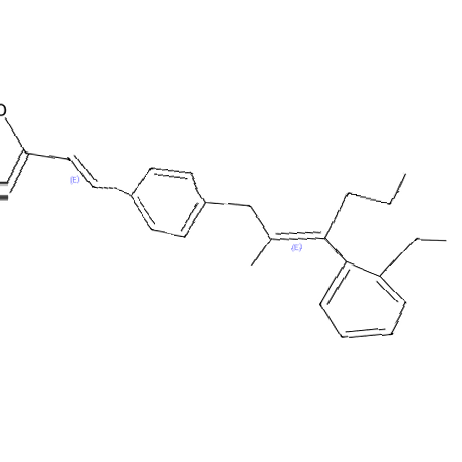 CCC/C(=C(/C)Cc1ccc(/C=C/C(=O)O)cc1)c1ccccc1CC